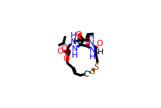 C/C=C1\NC(=O)[C@H]2CSSCC/C=C/C(CC(=O)N[C@H](C(C)C)C(=O)N2)OC(=O)[C@H](C(C)C)NC1=O